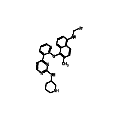 Cc1ccc2c(NCC(C)C)cccc2c1Oc1ncccc1-c1ccnc(NC2CCCNC2)n1